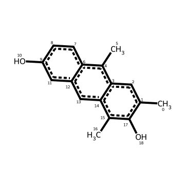 Cc1cc2c(C)c3ccc(O)cc3cc2c(C)c1O